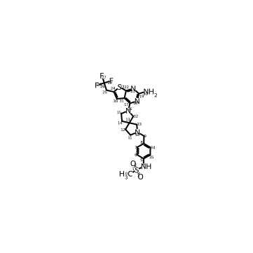 CS(=O)(=O)Nc1ccc(CN2CCC3(CCN(c4nc(N)nc5sc(CC(F)(F)F)cc45)C3)C2)cc1